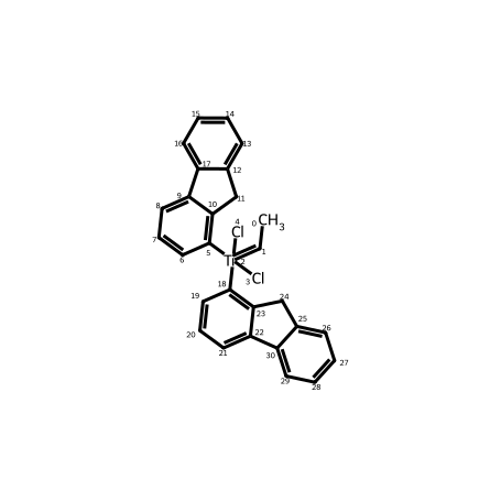 C[CH]=[Ti]([Cl])([Cl])([c]1cccc2c1Cc1ccccc1-2)[c]1cccc2c1Cc1ccccc1-2